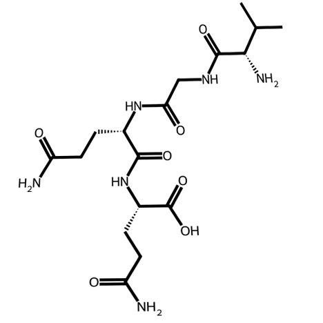 CC(C)[C@H](N)C(=O)NCC(=O)N[C@@H](CCC(N)=O)C(=O)N[C@@H](CCC(N)=O)C(=O)O